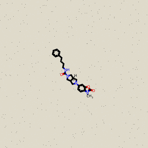 Cn1c(=O)oc2cc(N3CC4CN(C(=O)NCCCCc5ccccc5)C[C@@H]4C3)ccc21